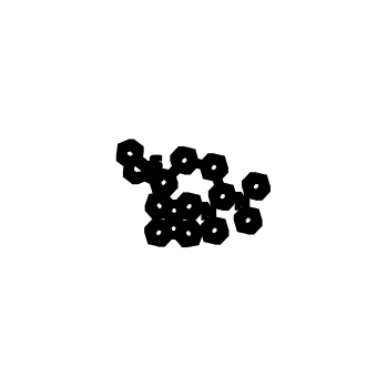 c1ccc(N(c2ccccc2)c2cc(-c3cccc(-c4cccc(-c5cccc6c5sc5c7ccccc7ccc65)c4)c3)cc(N(c3ccccc3)c3ccc4c(c3)C3(c5ccccc5-c5ccccc53)c3ccccc3-4)c2)cc1